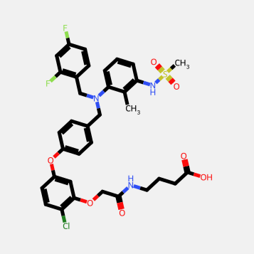 Cc1c(NS(C)(=O)=O)cccc1N(Cc1ccc(Oc2ccc(Cl)c(OCC(=O)NCCCC(=O)O)c2)cc1)Cc1ccc(F)cc1F